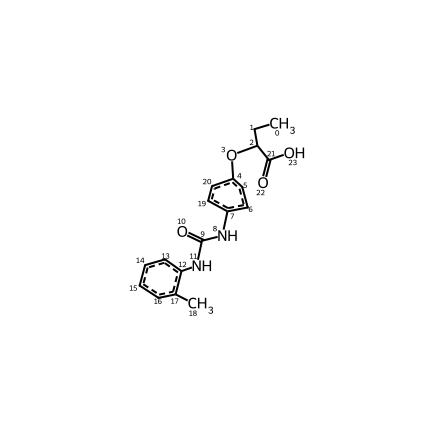 CCC(Oc1ccc(NC(=O)Nc2ccccc2C)cc1)C(=O)O